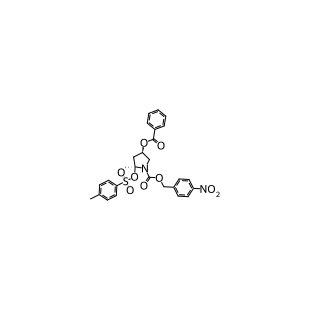 Cc1ccc(S(=O)(=O)O[C@@]2(C)C[C@@H](OC(=O)c3ccccc3)CN2C(=O)OCc2ccc([N+](=O)[O-])cc2)cc1